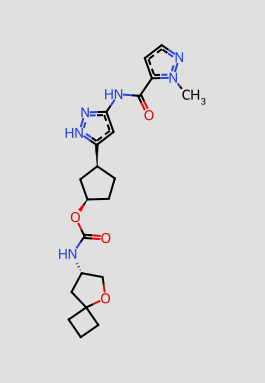 Cn1nccc1C(=O)Nc1cc([C@H]2CC[C@@H](OC(=O)N[C@@H]3COC4(CCC4)C3)C2)[nH]n1